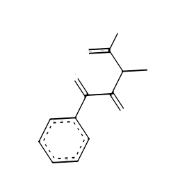 CC(C(=O)O)C(=S)C(=O)c1ccccc1